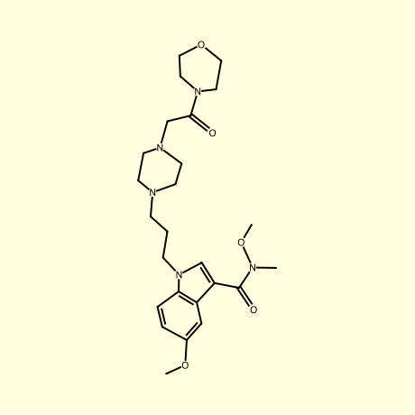 COc1ccc2c(c1)c(C(=O)N(C)OC)cn2CCCN1CCN(CC(=O)N2CCOCC2)CC1